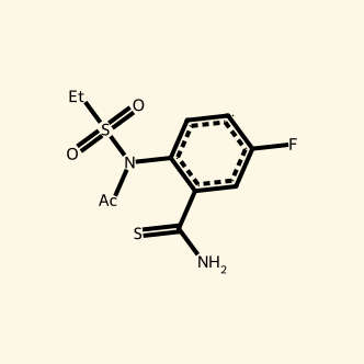 CCS(=O)(=O)N(C(C)=O)c1c[c]c(F)cc1C(N)=S